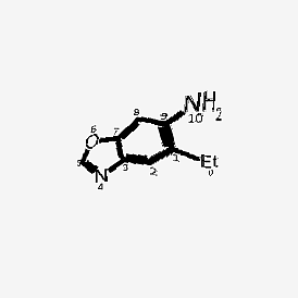 CCc1cc2ncoc2cc1N